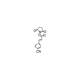 N#Cc1ccc(C=CC(=O)ON2C(=O)CCC2=O)cc1